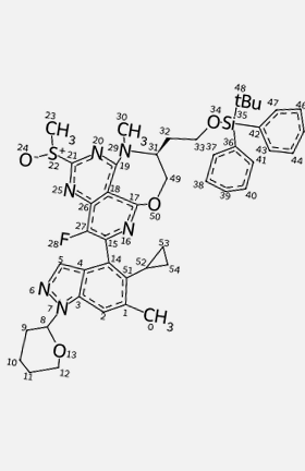 Cc1cc2c(cnn2C2CCCCO2)c(-c2nc3c4c(nc([S+](C)[O-])nc4c2F)N(C)[C@@H](CCO[Si](c2ccccc2)(c2ccccc2)C(C)(C)C)CO3)c1C1CC1